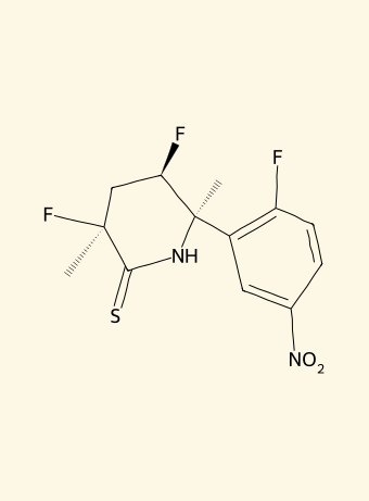 C[C@]1(F)C[C@@H](F)[C@@](C)(c2cc([N+](=O)[O-])ccc2F)NC1=S